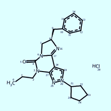 CCCN1C(=O)N2C[C@@H](Cc3ccccc3)N=C2c2cn(C3CCCC3)nc21.Cl